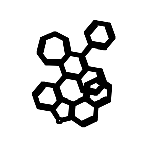 C1=CCC=c2c(-c3ccccc3)c3ccccc3c(-c3cccc4oc5ccc6ccccc6c5c34)c2=C1